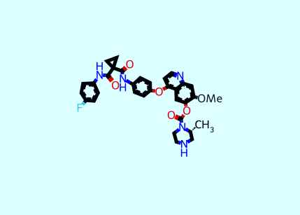 COc1cc2nccc(Oc3ccc(NC(=O)C4(C(=O)Nc5ccc(F)cc5)CC4)cc3)c2cc1OC(=O)N1CCNC[C@H]1C